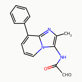 Cc1nc2c(-c3ccccc3)cccn2c1NC(=O)C=O